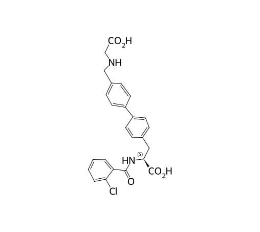 O=C(O)CNCc1ccc(-c2ccc(C[C@H](NC(=O)c3ccccc3Cl)C(=O)O)cc2)cc1